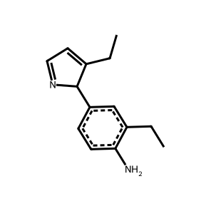 CCC1=CC=NC1c1ccc(N)c(CC)c1